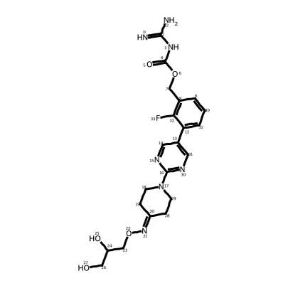 N=C(N)NC(=O)OCc1cccc(-c2cnc(N3CCC(=NOCC(O)CO)CC3)nc2)c1F